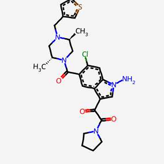 C[C@@H]1CN(Cc2ccsc2)[C@@H](C)CN1C(=O)c1cc2c(C(=O)C(=O)N3CCCC3)cn(N)c2cc1Cl